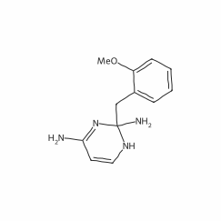 COc1ccccc1CC1(N)N=C(N)C=CN1